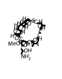 C=C1C[C@@H]2CC[C@@]34C[C@H]5[C@H]6O[C@H](CC[C@@H]6O[C@H]6[C@@H](O3)[C@@H](C4)O[C@@H]56)CC(=O)C[C@@H]3[C@@H](OC)[C@@H](C[C@H](O)CN)O[C@H]3C[C@H]3O[C@@H](CC[C@@H]1O2)C[C@@H](C)C3=C